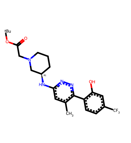 Cc1cc(N[C@@H]2CCCN(CC(=O)OC(C)(C)C)C2)nnc1-c1ccc(C(F)(F)F)cc1O